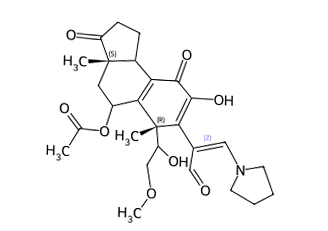 COCC(O)[C@@]1(C)C(/C(C=O)=C/N2CCCC2)=C(O)C(=O)C2=C1C(OC(C)=O)C[C@]1(C)C(=O)CCC21